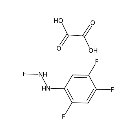 FNNc1cc(F)c(F)cc1F.O=C(O)C(=O)O